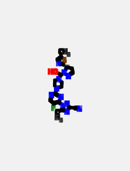 Cc1cnc([C@@H]2CC=NN2C(O)N2CCN(c3ncc(F)c(-n4nc(C#N)nc4C)n3)CC2)s1